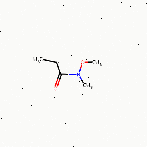 C[CH]C(=O)N(C)OC